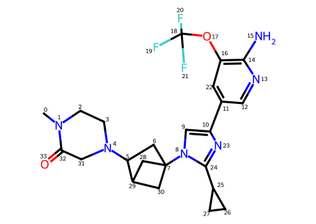 CN1CCN(C2CC3(n4cc(-c5cnc(N)c(OC(F)(F)F)c5)nc4C4CC4)CC2C3)CC1=O